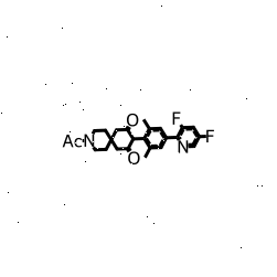 CC(=O)N1CCC2(CC1)CC(=O)C(c1c(C)cc(-c3ncc(F)cc3F)cc1C)C(=O)C2